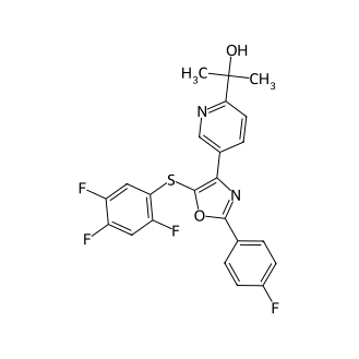 CC(C)(O)c1ccc(-c2nc(-c3ccc(F)cc3)oc2Sc2cc(F)c(F)cc2F)cn1